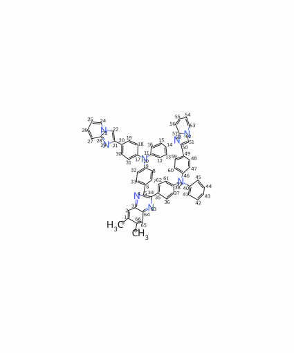 Cc1cc2nc(-c3ccc(N(c4ccccc4)c4ccc(-c5cn6ccccc6n5)cc4)cc3)c(-c3ccc(N(c4ccccc4)c4ccc(-c5cn6ccccc6n5)cc4)cc3)nc2cc1C